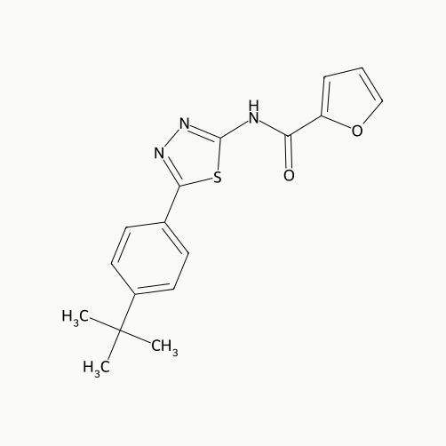 CC(C)(C)c1ccc(-c2nnc(NC(=O)c3ccco3)s2)cc1